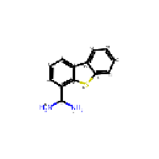 NC(N)c1cccc2c1sc1ccccc12